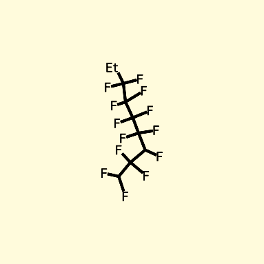 CCC(F)(F)C(F)(F)C(F)(F)C(F)(F)C(F)C(F)(F)[C](F)F